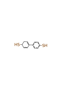 Sc1ccc(C2=CCC(S)C=C2)cc1